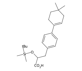 CC1(C)CC=C(c2ccc(CC(O[Si](C)(C)C(C)(C)C)C(=O)O)cc2)CC1